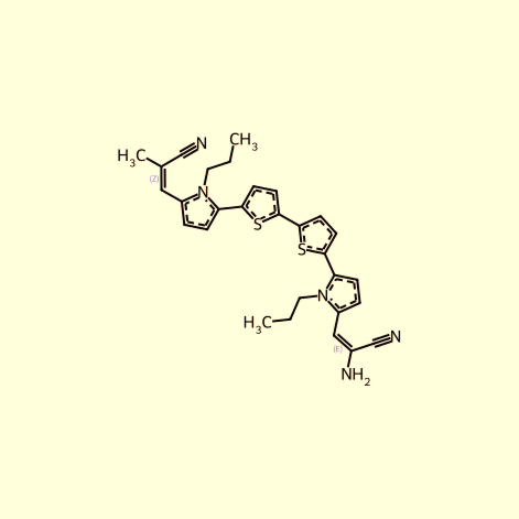 CCCn1c(/C=C(/C)C#N)ccc1-c1ccc(-c2ccc(-c3ccc(/C=C(/N)C#N)n3CCC)s2)s1